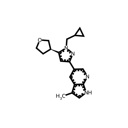 Cc1c[nH]c2ncc(-c3cc([C@H]4CCOC4)n(CC4CC4)n3)cc12